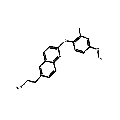 CCCOc1ccc(Oc2ccc3cc(CCN)ccc3n2)c(C)c1